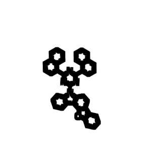 c1ccc2c(-c3nc(-c4cccc5ccccc45)nc(-n4c5ccccc5c5c6oc7ccccc7c6ccc54)n3)cccc2c1